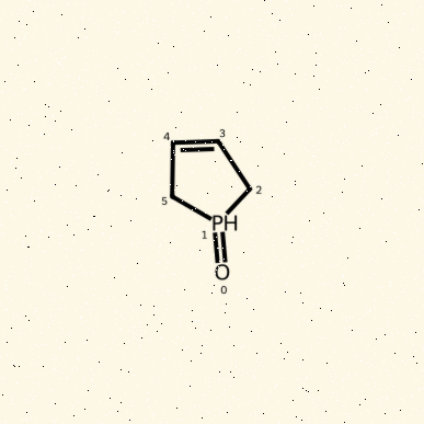 O=[PH]1CC=CC1